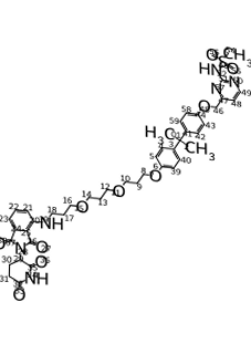 CC(C)(c1ccc(OCCCOCCCOCCCNc2cccc3c2C(=O)N(C2CCC(=O)NC2=O)C3=O)cc1)c1ccc(OCc2ccnc(NS(C)(=O)=O)n2)cc1